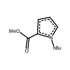 CCCCn1cccc1C(=O)OC